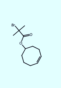 CC(C)(Br)C(=O)OC1CC/C=C\CCC1